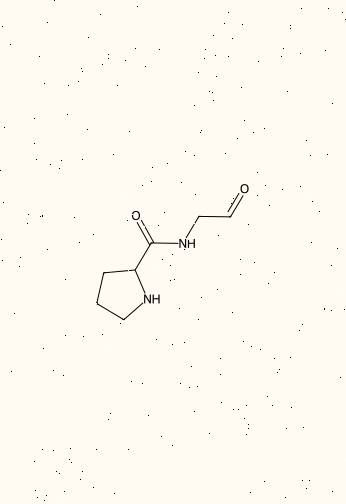 O=CCNC(=O)C1CCCN1